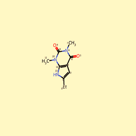 CCc1cc2c(=O)n(C)c(=O)n(C)c2[nH]1